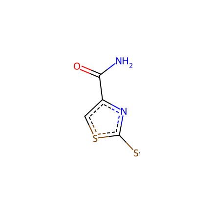 NC(=O)c1csc([S])n1